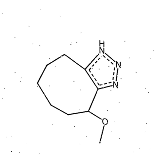 COC1CCCCCc2[nH]nnc21